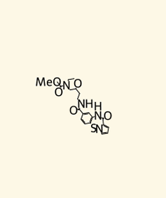 COC(=O)N1CCOC(CCNC(=O)c2ccc3c(c2)NC(=O)c2cccn2S3)C1